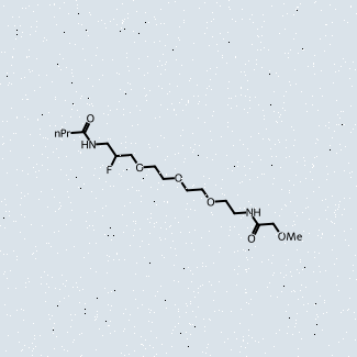 CCCC(=O)NCC(F)COCCOCCOCCNC(=O)COC